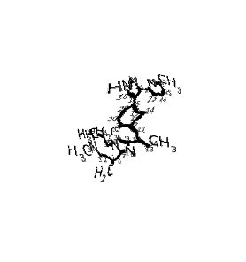 C=C(CCNC)Cc1nc(C(/C=C2/C=C/C=C(c3c[nH]nc3-c3cccc(C)n3)/C=C\C2=C)=C/C)cn1CCC